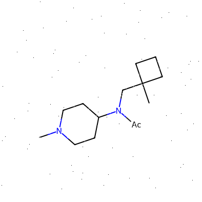 CC(=O)N(CC1(C)CCC1)C1CCN(C)CC1